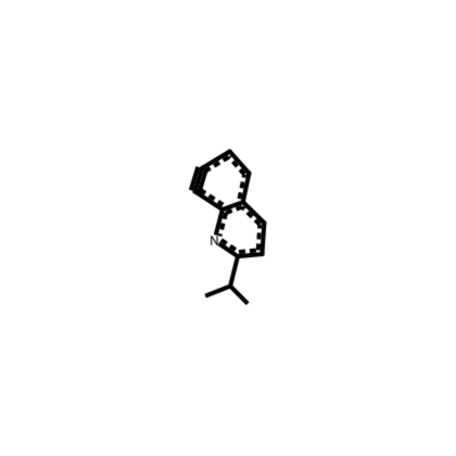 CC(C)c1ccc2ccc#cc2n1